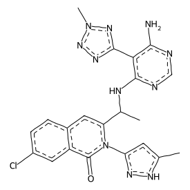 Cc1cc(-n2c(C(C)Nc3ncnc(N)c3-c3nnn(C)n3)cc3ccc(Cl)cc3c2=O)n[nH]1